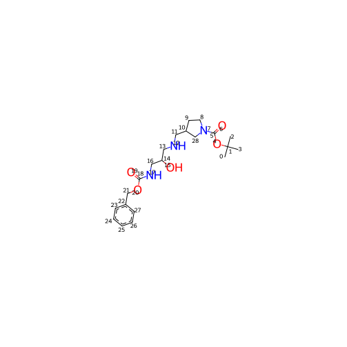 CC(C)(C)OC(=O)N1CCC(CNCC(O)CNC(=O)OCc2ccccc2)C1